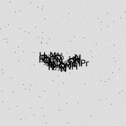 CC(C)n1ncc2ccc(Nc3cc(N4CCC[C@](C)(N)C4)c(-c4cnn(C5CCOCC5)c4)cn3)nc21